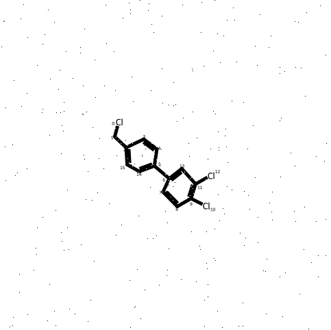 ClCc1ccc(-c2ccc(Cl)c(Cl)c2)cc1